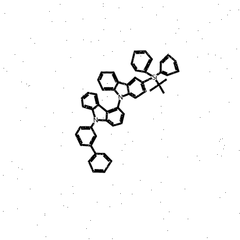 CC(C)(C)[Si](c1ccccc1)(c1ccccc1)c1ccc2c(c1)c1ccccc1n2-c1cccc2c1c1ccccc1n2-c1cccc(-c2ccccc2)c1